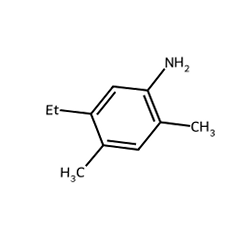 CCc1cc(N)c(C)cc1C